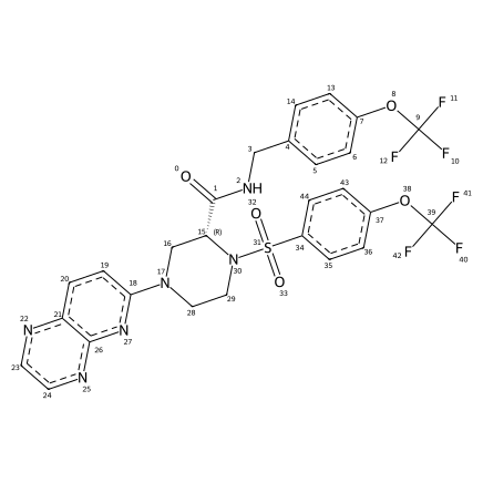 O=C(NCc1ccc(OC(F)(F)F)cc1)[C@H]1CN(c2ccc3nccnc3n2)CCN1S(=O)(=O)c1ccc(OC(F)(F)F)cc1